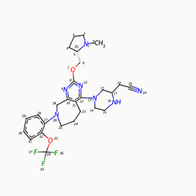 CN1CCC[C@H]1COc1nc2c(c(N3CCNC(CC#N)C3)n1)CCCN(c1ccccc1OC(F)(F)F)C2